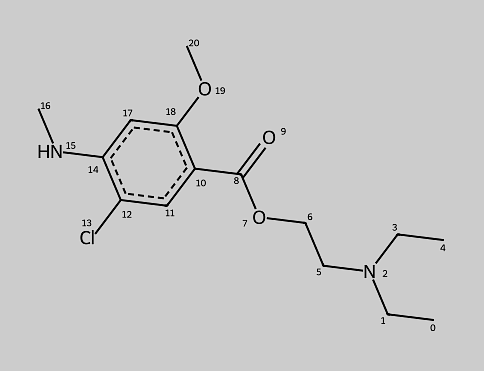 CCN(CC)CCOC(=O)c1cc(Cl)c(NC)cc1OC